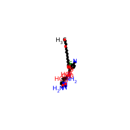 CCCCCCCCCCCCCCCCCOC[C@H](COP(=O)(O)OC[C@@]1(N)O[C@@H](c2ccc3c(N)ncnn23)[C@H](O)[C@@H]1O)Oc1ccc(C#N)c(F)c1